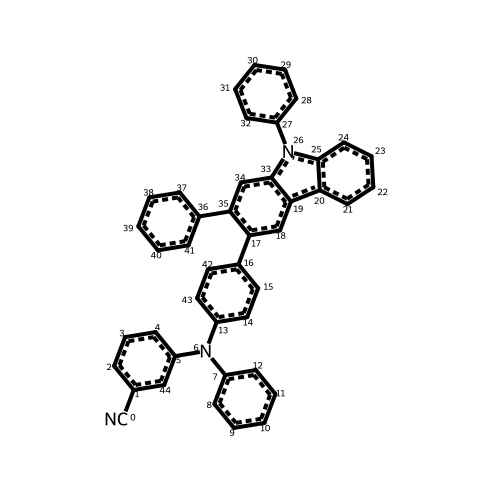 N#Cc1cccc(N(c2ccccc2)c2ccc(-c3cc4c5ccccc5n(-c5ccccc5)c4cc3-c3ccccc3)cc2)c1